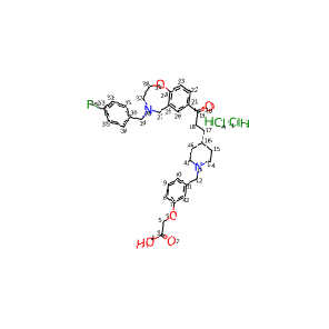 Cl.Cl.O=C(O)COc1cccc(CN2CCC(CCC(=O)c3ccc4c(c3)CN(Cc3ccc(F)cc3)CCO4)CC2)c1